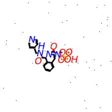 O=C(NCc1ccncc1)C1c2ccccc2C2CN1C(=O)N2OS(=O)(=O)O